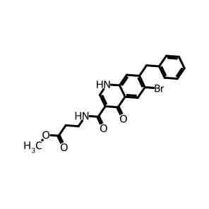 COC(=O)CCNC(=O)c1c[nH]c2cc(Cc3ccccc3)c(Br)cc2c1=O